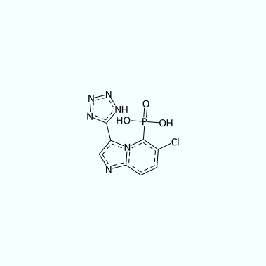 O=P(O)(O)c1c(Cl)ccc2ncc(-c3nnn[nH]3)n12